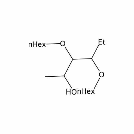 [CH2]CC(OCCCCCC)C(OCCCCCC)C(C)O